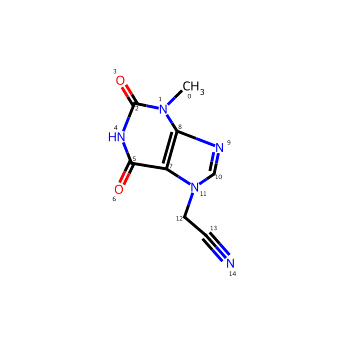 Cn1c(=O)[nH]c(=O)c2c1ncn2CC#N